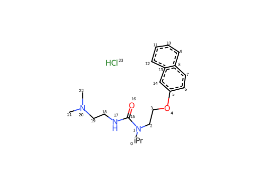 CC(C)N(CCOc1ccc2ccccc2c1)C(=O)NCCN(C)C.Cl